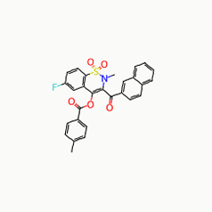 Cc1ccc(C(=O)OC2=C(C(=O)c3ccc4ccccc4c3)N(C)S(=O)(=O)c3ccc(F)cc32)cc1